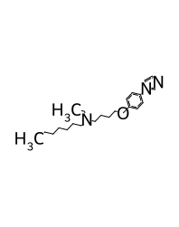 CCCCCCCN(CC)CCCCOc1ccc(-n2ccnc2)cc1